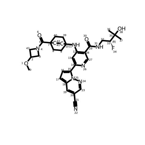 COC1CN(C(=O)C23CCC(Nc4cc(-c5ccc6cc(C#N)cnn56)ncc4C(=O)NC[C@@H](F)C(C)(C)O)(CC2)CC3)C1